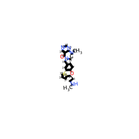 CNCC[C@H](Oc1ccc(CN2CCN(C)c3ncncc3C2=O)cc1)c1cccs1